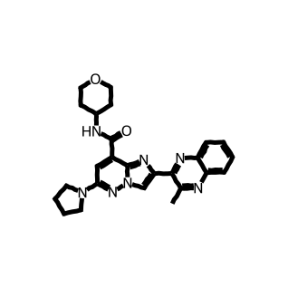 Cc1nc2ccccc2nc1-c1cn2nc(N3CCCC3)cc(C(=O)NC3CCOCC3)c2n1